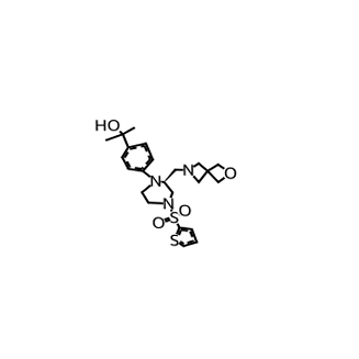 CC(C)(O)c1ccc(N2CCN(S(=O)(=O)c3cccs3)C[C@@H]2CN2CC3(COC3)C2)cc1